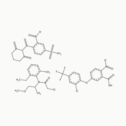 CCc1cccc(C)c1N(C(=O)CCl)C(C)COC.CS(=O)(=O)c1ccc(C(=O)C2C(=O)CCCC2=O)c([N+](=O)[O-])c1.O=C(O)c1cc(Oc2ccc(C(F)(F)F)cc2Cl)ccc1[N+](=O)[O-]